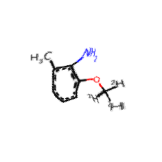 [2H]C([2H])([2H])Oc1cccc(C)c1N